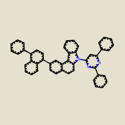 c1ccc(-c2cc(-n3c4ccccc4c4c5cc(-c6ccc(-c7ccccc7)c7ccccc67)ccc5ccc43)nc(-c3ccccc3)n2)cc1